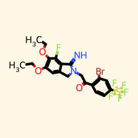 CCOc1cc2c(c(F)c1OCC)C(=N)N(CC(=O)c1ccc(S(F)(F)(F)(F)F)cc1Br)C2